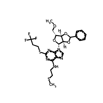 COC[C@H]1O[C@@H](n2cnc3c(NCCSC)nc(SCCC(F)(F)F)nc32)[C@@H]2OC(c3ccccc3)O[C@@H]21